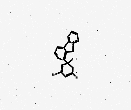 OC1(c2cccc3c2Cc2ccccc2-3)C=C(Br)C=C(Br)C1